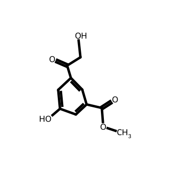 COC(=O)c1cc(O)cc(C(=O)CO)c1